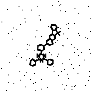 CC1(C)c2ccccc2-c2cc3cc(-c4cccc(-c5nc(-c6ccccc6)nc(-c6ccccc6)n5)c4)ccc3cc21